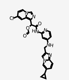 O=COC(C(=O)Nc1cc(NCc2cn3cc(C4CC4)ccc3n2)ccn1)c1ncn2ccc(Cl)cc12